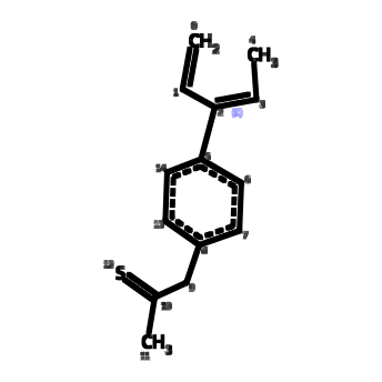 C=C/C(=C\C)c1ccc(CC(C)=S)cc1